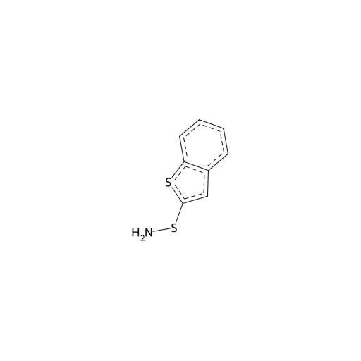 NSc1cc2ccccc2s1